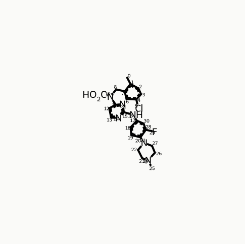 Cc1ccc(Cl)cc1CN(C(=O)O)c1ccnc(Nc2ccc(N3CCN(C)CC3)c(F)c2)n1